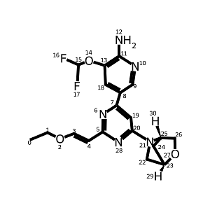 CCOC=Cc1nc(-c2cnc(N)c(OC(F)F)c2)cc(N2C[C@@H]3C[C@H]2CO3)n1